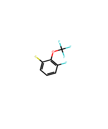 Fc1cccc([S])c1OC(F)(F)F